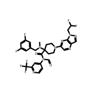 CN(Cc1cc(F)cc(F)c1)C1(C(=O)N(C=O)c2ccnc(C(F)(F)F)c2)CCN(c2cnc3cnn(CC(F)F)c3n2)CC1